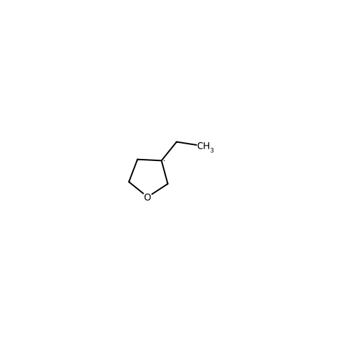 CC[C]1CCOC1